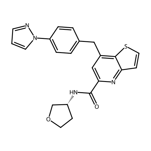 O=C(N[C@@H]1CCOC1)c1cc(Cc2ccc(-n3cccn3)cc2)c2sccc2n1